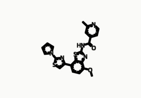 COc1ccc(-c2csc(-n3cccc3)n2)c2sc(NC(=O)c3ccnc(C)c3)nc12